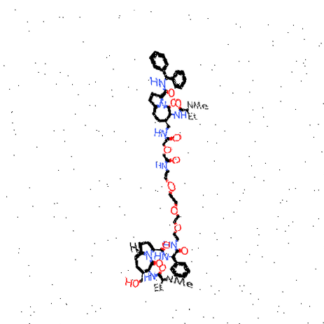 CC[C@H](NC)C(=O)N[C@@H]1C(=O)N2C(CCC2C(=O)NC(c2ccccc2)c2ccccc2)CC[C@@H]1CNC(=O)COCC(=O)NCCOCCOCCOCCNC(=O)[C@@H](NC(=O)[C@@H]1CC[C@@H]2CC[C@H](CO)[C@H](NC(=O)[C@H](CC)NC)C(=O)N21)c1ccccc1